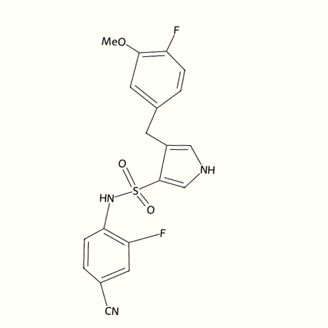 COc1cc(Cc2c[nH]cc2S(=O)(=O)Nc2ccc(C#N)cc2F)ccc1F